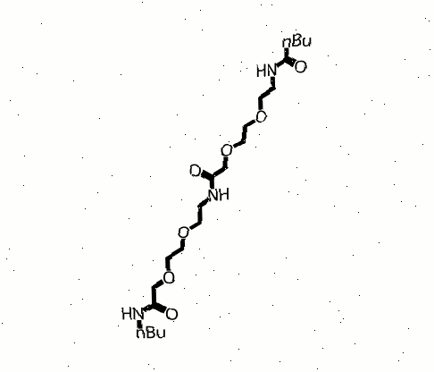 CCCCNC(=O)COCCOCCNC(=O)COCCOCCNC(=O)CCCC